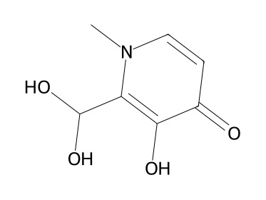 Cn1ccc(=O)c(O)c1C(O)O